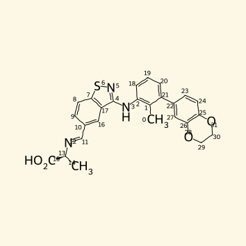 Cc1c(Nc2nsc3ccc(C=N[C@@H](C)C(=O)O)cc23)cccc1-c1ccc2c(c1)OCCO2